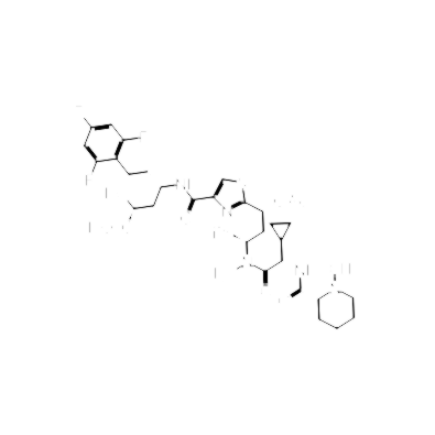 CC(=O)O[C@H](C[C@H](C(C)C)N(C)C(=O)[C@@H](NC(=O)[C@H]1CCCCN1C)C1CC1)c1nc(C(=O)N[C@@H](CCc2c(F)cc(F)cc2F)C[C@H](C)C(=O)O)cs1